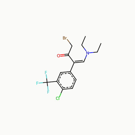 CCN(C=C(C(=O)CBr)c1ccc(Cl)c(C(F)(F)F)c1)CC